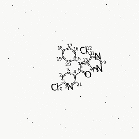 Clc1ccc(-c2oc3ncnc(Cl)c3c2-c2ccccc2)cn1